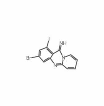 N=c1c2c(I)cc(Br)cc2nc2ccccn12